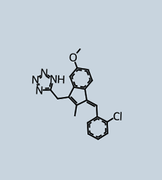 COc1ccc2c(c1)C(Cc1nnn[nH]1)=C(C)C2=Cc1ccccc1Cl